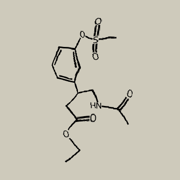 CCOC(=O)CC(CNC(C)=O)c1cccc(OS(C)(=O)=O)c1